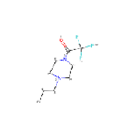 CCCN1CCN(C(=O)C(F)(F)F)CC1